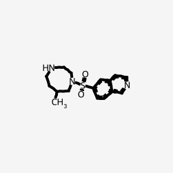 CC1CCNCCN(S(=O)(=O)c2ccc3cnccc3c2)C1